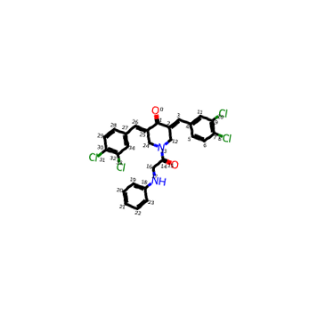 O=C1/C(=C/c2ccc(Cl)c(Cl)c2)CN(C(=O)CNc2ccccc2)C/C1=C\c1ccc(Cl)c(Cl)c1